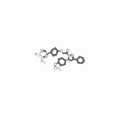 C=NN(/C=N\C)c1ccc(OCC(=O)N2N=C(c3ccccc3)C[C@H]2c2ccc(OC)cc2)cc1